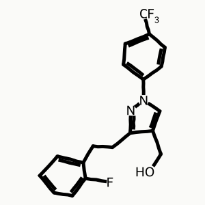 OCc1cn(-c2ccc(C(F)(F)F)cc2)nc1CCc1ccccc1F